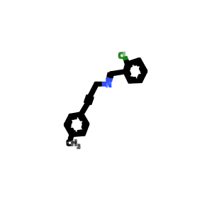 Cc1ccc(C#CCN=Cc2ccccc2Cl)cc1